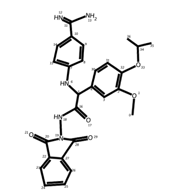 COc1cc(C(Nc2ccc(C(=N)N)cc2)C(=O)NN2C(=O)c3ccccc3C2=O)ccc1OC(C)C